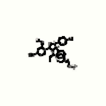 C/C=C(\N1CCN(CC(=O)O)CC1)N1C(c2ccc(C(C)(C)C)cc2OCC)=N[C@@](C)(c2ccc(Cl)cc2)[C@@]1(C)c1ccc(Cl)cc1